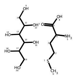 CSCCC(N)C(=O)O.OCC(O)C(O)C(O)C(O)CO